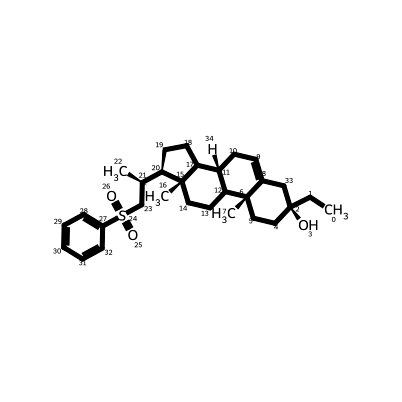 CC[C@]1(O)CC[C@@]2(C)C(=CC[C@@H]3C2CC[C@@]2(C)C3CC[C@@H]2[C@H](C)CS(=O)(=O)c2ccccc2)C1